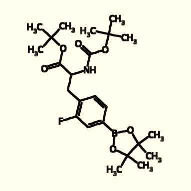 CC(C)(C)OC(=O)NC(Cc1ccc(B2OC(C)(C)C(C)(C)O2)cc1F)C(=O)OC(C)(C)C